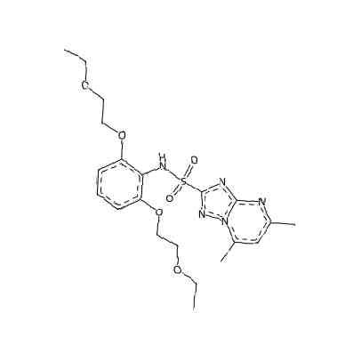 CCOCCOc1cccc(OCCOCC)c1NS(=O)(=O)c1nc2nc(C)cc(C)n2n1